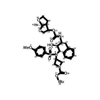 COc1ccc(S(=O)(=O)N(C[C@@H](O)[C@H](Cc2ccccc2)NC(=O)OC2CO[C@H]3OCCC23)C2CN(C(=O)OC(C)(C)C)C2)cc1